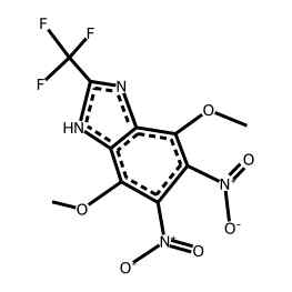 COc1c([N+](=O)[O-])c([N+](=O)[O-])c(OC)c2[nH]c(C(F)(F)F)nc12